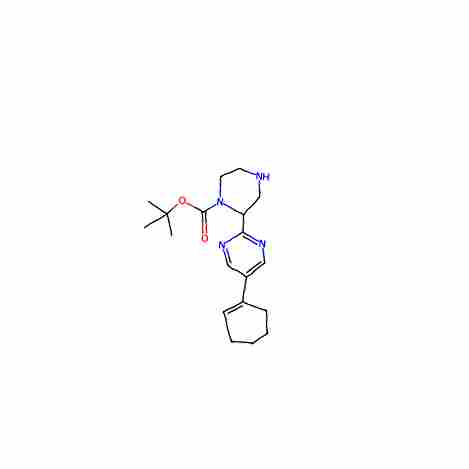 CC(C)(C)OC(=O)N1CCNCC1c1ncc(C2=CCCCC2)cn1